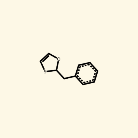 C1=CSC(Cc2ccccc2)O1